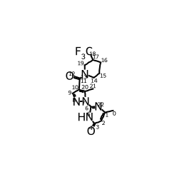 Cc1cc(=O)[nH]c(-n2ncc(C(=O)N3CCCC(C(F)(F)F)C3)c2C)n1